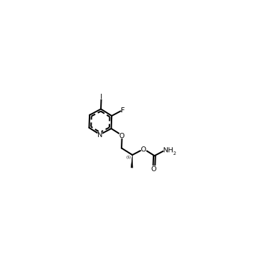 C[C@@H](COc1nccc(I)c1F)OC(N)=O